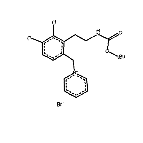 CC(C)(C)OC(=O)NCCc1c(C[n+]2ccccc2)ccc(Cl)c1Cl.[Br-]